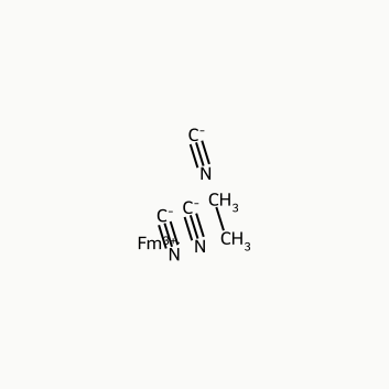 CC.[C-]#N.[C-]#N.[C-]#N.[Fm+3]